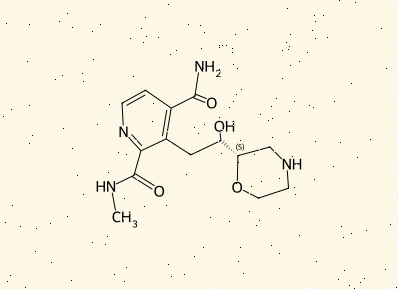 CNC(=O)c1nccc(C(N)=O)c1CC(O)[C@@H]1CNCCO1